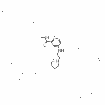 CNC(=O)c1cccc(NCCN2CCCC2)c1